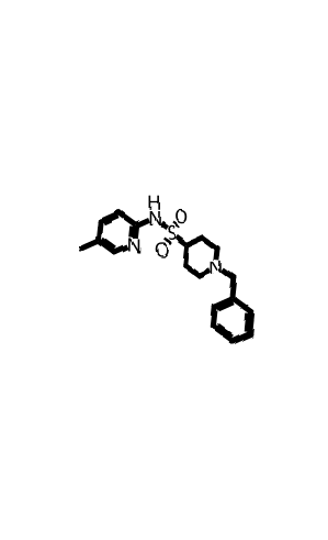 Cc1ccc(NS(=O)(=O)C2CCN(Cc3ccccc3)CC2)nc1